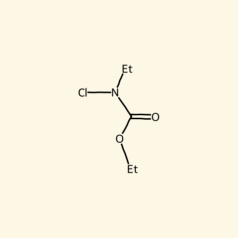 [CH2]COC(=O)N(Cl)CC